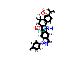 COc1c(C(C)C)ccc2c1C(C)(C)C[C@](O)(C(F)(F)F)[C@@H]2Nc1ccc2c(cnn2-c2ccc(C)cc2)c1